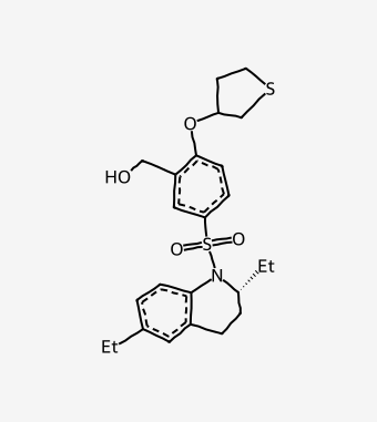 CCc1ccc2c(c1)CC[C@@H](CC)N2S(=O)(=O)c1ccc(OC2CCSC2)c(CO)c1